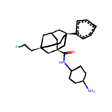 NC1CCC(NC(=O)[C@]23CC4C[C@@](CCF)(C2)C[C@](c2ccccc2)(C4)C3)CC1